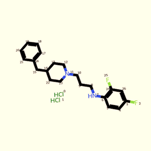 Cl.Cl.Fc1ccc(NCCCN2CCC(Cc3ccccc3)CC2)c(F)c1